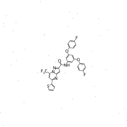 O=C(Nc1cc(Oc2ccc(F)cc2)cc(Oc2ccc(F)cc2)c1)c1cc2nc(-c3cccs3)cc(C(F)(F)F)n2n1